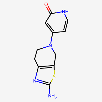 Nc1nc2c(s1)CN(c1cc[nH]c(=O)c1)CC2